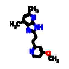 COc1ccnc(CCc2nc3c(C)cc(C)nc3[nH]2)c1